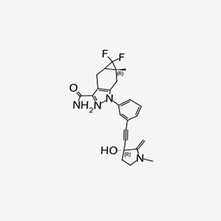 C=C1N(C)CC[C@@]1(O)C#Cc1cccc(-n2nc(C(N)=O)c3c2C[C@]2(C)C(C3)C2(F)F)c1